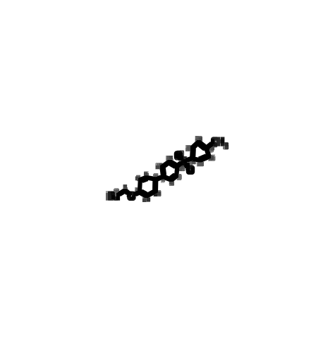 CCC(C)COc1ccc(-c2ccc(S(=O)(=O)c3ccc(C)cc3)cc2)cc1